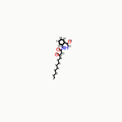 CCCCCCCCCC(=O)CC(=O)Nc1ccccc1C(C)=O